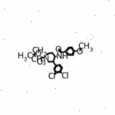 COc1ccc(C(=O)N[C@@H]2CCN(C(=O)OC(C)(C)C)CC2c2ccc(Cl)c(Cl)c2)cc1